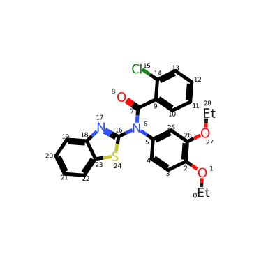 CCOc1ccc(N(C(=O)c2ccccc2Cl)c2nc3ccccc3s2)cc1OCC